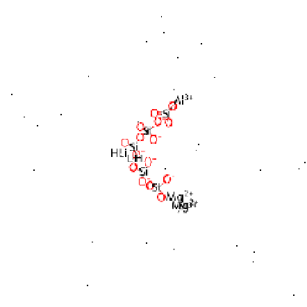 O=[Si]([O-])[O-].O=[Si]([O-])[O-].O=[Si]([O-])[O-].O=[Si]([O-])[O-].O=[Si]([O-])[O-].[Al+3].[Al+3].[LiH].[LiH].[Mg+2].[Mg+2]